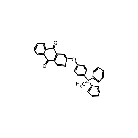 CS(c1ccccc1)(c1ccccc1)c1ccc(Oc2ccc3c(c2)C(=O)c2ccccc2C3=O)cc1